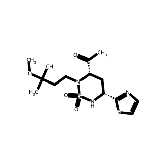 COC(C)(C)CCN1[C@H](C(C)=O)C[C@H](c2nccs2)NS1(=O)=O